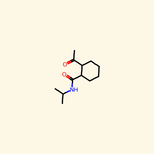 CC(=O)C1CCCCC1C(=O)NC(C)C